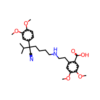 COc1ccc(C(C#N)(CCCCNCCc2cc(OC)c(OC)cc2C(=O)O)C(C)C)cc1OC